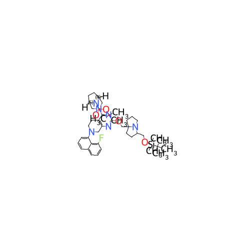 CC(C)(C)OC(=O)N1[C@@H]2CC[C@H]1CN(c1nc(OCC34CCCN3C(CO[Si](C)(C)C(C)(C)C)CC4)nc3c1CCN(c1cccc4cccc(F)c14)C3)C2